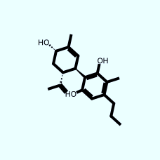 C=C(C)[C@@H]1C[C@H](O)C(C)=C[C@H]1c1c(O)cc(CCC)c(C)c1O